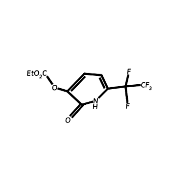 CCOC(=O)Oc1ccc(C(F)(F)C(F)(F)F)[nH]c1=O